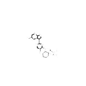 CN(C)C(=O)[C@H]1CCCC[C@@H]1Nc1nc(-c2c[nH]c3ncc(Cl)cc23)ncc1F